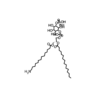 CCCCCCCCCCCCCCCC(=O)O[C@H](COC(=O)CCCCCCCCCCCCCN)COP(=O)(O)OC1C(O)[C@@H](O)C(O)[C@@H](OP(=O)(O)O)[C@H]1O